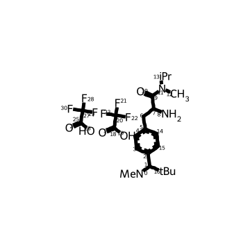 CNC(c1ccc(CC(N)C(=O)N(C)C(C)C)cc1)C(C)(C)C.O=C(O)C(F)(F)F.O=C(O)C(F)(F)F